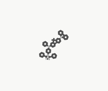 CC1(C)c2cc(N(c3ccccc3)c3ccc(-n4c(-c5ccccc5)nnc4-c4ccccc4)cc3)ccc2-c2ccc(-n3c4ccccc4c4ccccc43)cc21